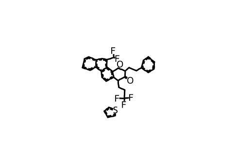 O=C1c2c(ccc3c2c(C(F)F)cc2ccccc23)C(CCC(F)(F)F)C(=O)C1CCc1ccccc1.c1ccsc1